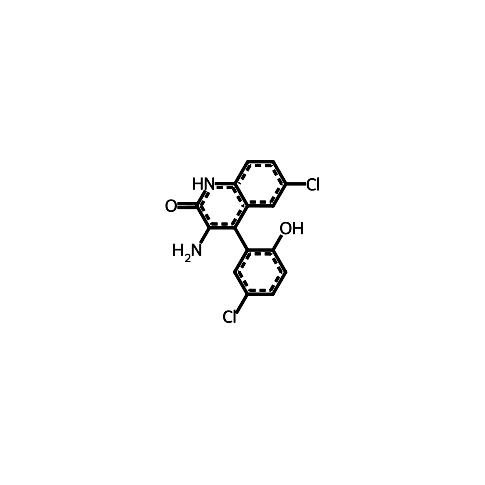 Nc1c(-c2cc(Cl)ccc2O)c2cc(Cl)ccc2[nH]c1=O